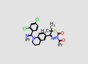 CC(C)/N=C(/c1ccc(Cl)cc1Cl)N1CCCc2cc(C3=NN(C(=O)C(C)C)C(=O)SC3(C)C)ccc21